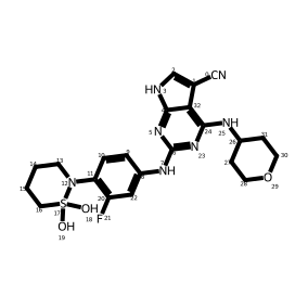 N#Cc1c[nH]c2nc(Nc3ccc(N4CCCCS4(O)O)c(F)c3)nc(NC3CCOCC3)c12